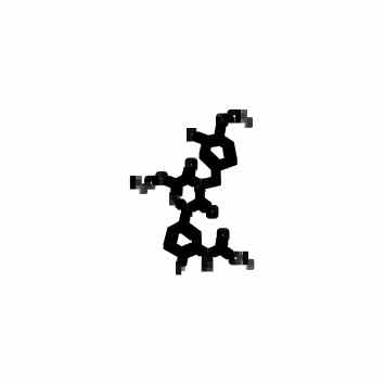 COc1ccc(Cn2c(=O)c(OC)nn(-c3ccc(F)c(NC(C)=O)c3)c2=O)cc1F